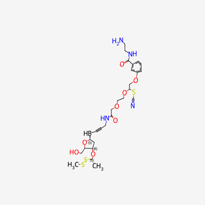 CSS[C@@H](C)O[C@@H]1C[C@H](BC#CCNC(=O)COCCOC(COc2cccc(C(=O)NCCN)c2)SC#N)OC1CO